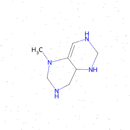 CN1CNCC2NCNC=C21